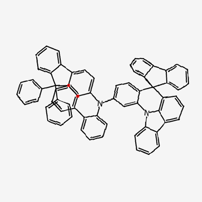 c1ccc(-c2ccccc2N(c2ccc3c(c2)-n2c4ccccc4c4cccc(c42)C32c3ccccc3-c3ccccc32)c2ccc3c(c2)C(c2ccccc2)(c2ccccc2)c2ccccc2-3)cc1